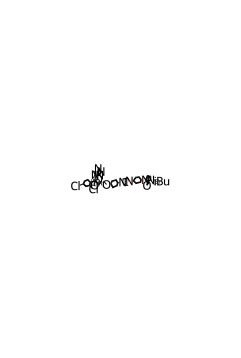 CC[C@H](C)n1ccn(-c2ccc(N3CCN(c4ccc(OC[C@@H]5CO[C@@](Cn6cnnn6)(c6ccc(Cl)cc6Cl)O5)cc4)CC3)cc2)c1=O